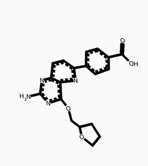 Nc1nc(OCC2CCCO2)c2nc(-c3ccc(C(=O)O)cc3)ccc2n1